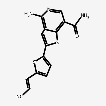 N#C/C=C/c1ccc(-c2cc3c(N)ncc(C(N)=O)c3s2)s1